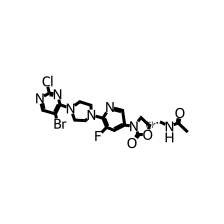 CC(=O)NC[C@H]1CN(c2cnc(N3CCN(c4nc(Cl)ncc4Br)CC3)c(F)c2)C(=O)O1